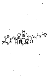 O=CCCCNC(=O)C1CNc2c(C(=O)NCc3ccc(F)cc3)ncnc21